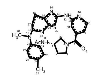 CC(=O)N[C@H]1CCN(C(=O)c2ccnc(Nc3nc4ccc(N(C)c5ccc(C)cc5)nc4s3)c2)C1